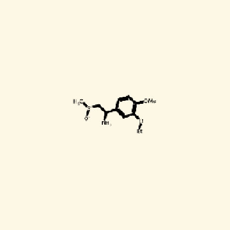 CCOc1cc(C(N)C[S+](C)[O-])ccc1OC